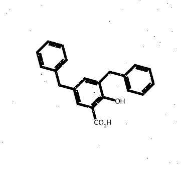 O=C(O)c1cc(Cc2ccccc2)cc(Cc2ccccc2)c1O